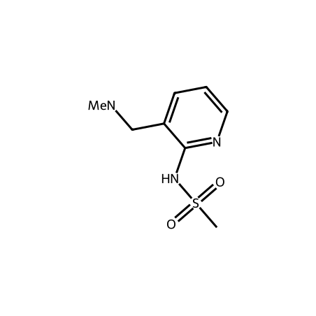 CNCc1cccnc1NS(C)(=O)=O